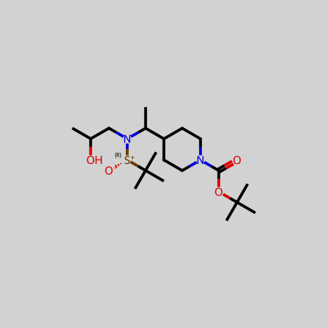 CC(O)CN(C(C)C1CCN(C(=O)OC(C)(C)C)CC1)[S@@+]([O-])C(C)(C)C